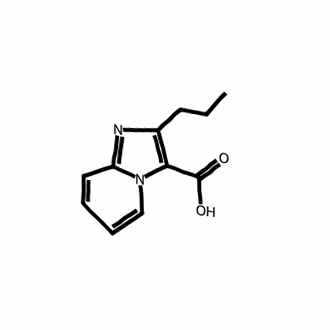 CCCc1nc2ccccn2c1C(=O)O